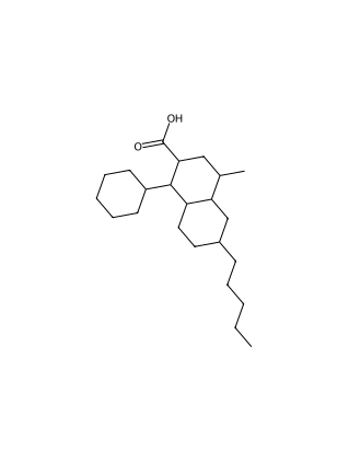 CCCCCC1CCC2C(C1)C(C)CC(C(=O)O)C2C1CCCCC1